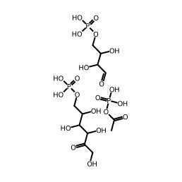 CC(=O)OP(=O)(O)O.O=C(CO)C(O)C(O)C(O)COP(=O)(O)O.O=CC(O)C(O)COP(=O)(O)O